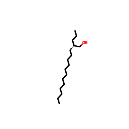 CCCCCCCCCCCC[C@@H](CO)CCC